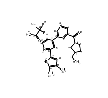 CCC1CCN(C(=O)c2cncc(-c3ccnc(-c4nc(C)c(C)[nH]4)c3)c2)C1.O=C(O)C(F)(F)F